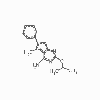 CC(C)Oc1nc(N)c2c(cc(-c3ccccc3)n2C)n1